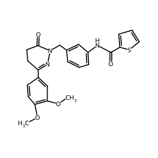 COc1ccc(C2=NN(Cc3cccc(NC(=O)c4cccs4)c3)C(=O)CC2)cc1OC